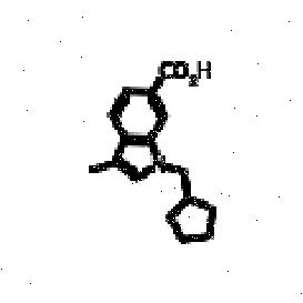 Cc1cn(CC2CCCC2)c2cc(C(=O)O)ccc12